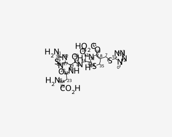 Cn1nnnc1SCC1=C(OC(=O)O)N2C(=O)[C@@H](NC(=O)[C@@H](NC(=O)C[C@@H](N)C(=O)O)c3nsc(N)n3)[C@@H]2SC1